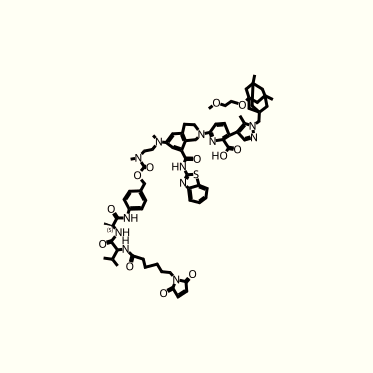 COCCOC12CC3(C)CC(C)(CC(Cn4ncc(-c5ccc(N6CCc7cc(N(C)CCN(C)C(=O)OCc8ccc(NC(=O)[C@H](C)NC(=O)C(NC(=O)CCCCCN9C(=O)C=CC9=O)C(C)C)cc8)cc(C(=O)Nc8nc9ccccc9s8)c7C6)nc5C(=O)O)c4C)(C3)C1)C2